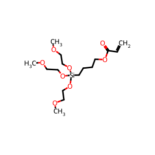 C=CC(=O)OCCCC[Si](OCCOC)(OCCOC)OCCOC